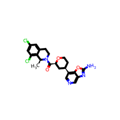 C[C@H]1c2c(Cl)cc(Cl)cc2CCN1C(=O)[C@@H]1C[C@H](c2cncc3nc(N)oc23)CCO1